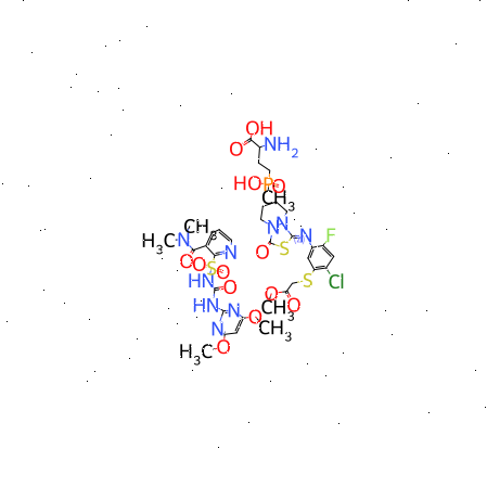 COC(=O)CSc1cc(/N=c2\sc(=O)n3n2CCCC3)c(F)cc1Cl.COc1cc(OC)nc(NC(=O)NS(=O)(=O)c2ncccc2C(=O)N(C)C)n1.CP(=O)(O)CCC(N)C(=O)O